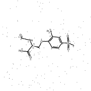 CS(=O)(=O)c1ccc(OC[C@H](NC=O)C(=O)O)c(N)c1